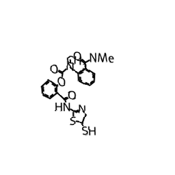 CNC(=O)c1ccccc1N(C)C(=O)Oc1ccccc1C(=O)NC1=NCC(S)S1